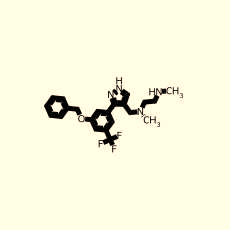 CNCCN(C)Cc1c[nH]nc1-c1cc(OCc2ccccc2)cc(C(F)(F)F)c1